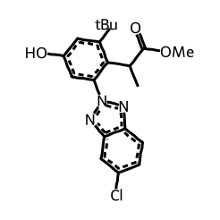 COC(=O)C(C)c1c(-n2nc3ccc(Cl)cc3n2)cc(O)cc1C(C)(C)C